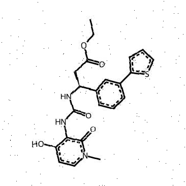 CCOC(=O)C[C@H](NC(=O)Nc1c(O)ccn(C)c1=O)c1cccc(-c2cccs2)c1